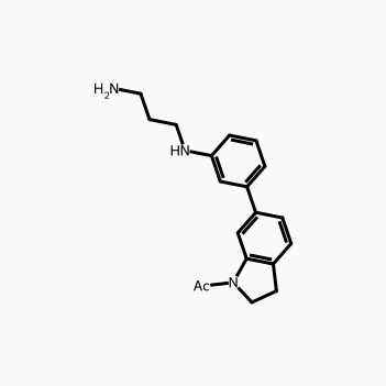 CC(=O)N1CCc2ccc(-c3cccc(NCCCN)c3)cc21